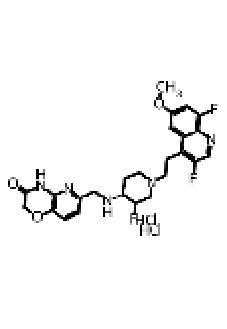 COc1cc(F)c2ncc(F)c(CCN3CC[C@H](NCc4ccc5c(n4)NC(=O)CO5)[C@H](F)C3)c2c1.Cl.Cl